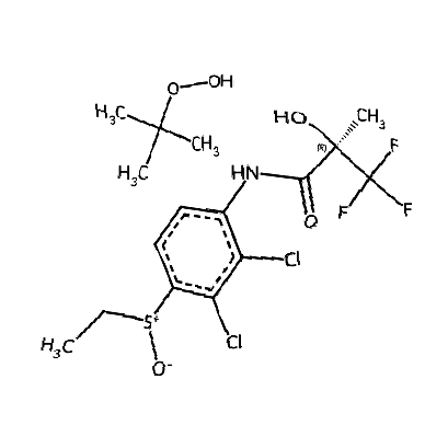 CC(C)(C)OO.CC[S+]([O-])c1ccc(NC(=O)[C@@](C)(O)C(F)(F)F)c(Cl)c1Cl